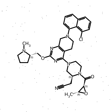 C[C@H]1O[C@@H]1C(=O)N1CCN(c2nc(OC[C@@H]3CCCN3C)nc3c2CCN(c2cccc4cccc(Cl)c24)C3)C[C@@H]1CC#N